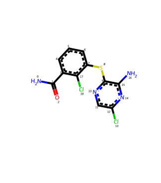 NC(=O)c1cccc(Sc2ncc(Cl)nc2N)c1Cl